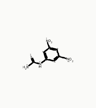 NC(=S)Nc1cc([N+](=O)[O-])cc([N+](=O)[O-])c1